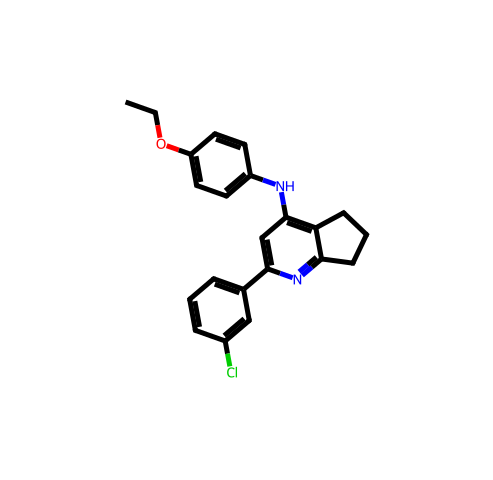 CCOc1ccc(Nc2cc(-c3cccc(Cl)c3)nc3c2CCC3)cc1